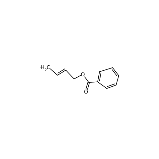 [CH2]C=CCOC(=O)c1ccccc1